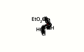 CCOC(=O)[C@@H]1CCCN(C(=O)Oc2ccc3c(c2)/C(=C/CCN2CCC(O)(c4ccc(Cl)cc4)CC2)C2=CC=CNC2CO3)C1